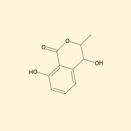 CC1OC(=O)c2c(O)cccc2C1O